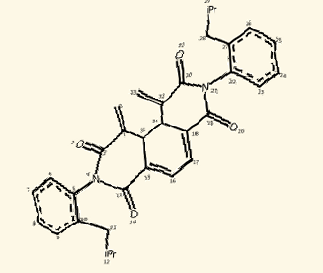 C=C1C(=O)N(c2ccccc2CC(C)C)C(=O)C2=CC=C3C(=O)N(c4ccccc4CC(C)C)C(=O)C(=C)C3C12